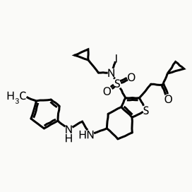 Cc1ccc(NCNC2CCc3sc(CC(=O)C4CC4)c(S(=O)(=O)N(I)CC4CC4)c3C2)cc1